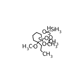 CCCC1(OC)CCCC[Si]1(OC)OC.O=[SH](=O)[SiH3]